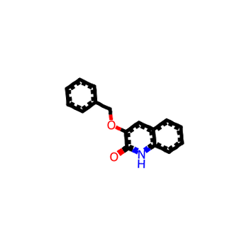 O=c1[nH]c2ccccc2cc1OCc1ccccc1